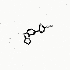 COc1ccc(-c2ccc3nc4n(c3c2)CCC4)cn1